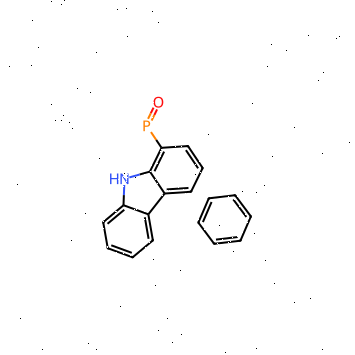 O=Pc1cccc2c1[nH]c1ccccc12.c1ccccc1